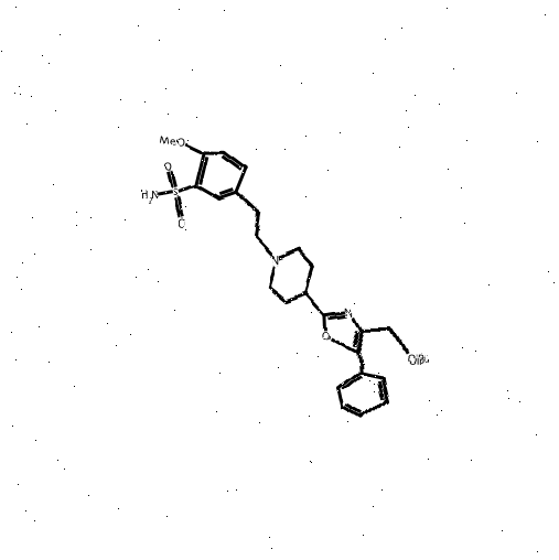 COc1ccc(CCN2CCC(c3nc(COCC(C)C)c(-c4ccccc4)o3)CC2)cc1S(N)(=O)=O